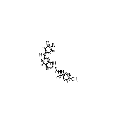 Cc1cnc(C(=O)NCCCNc2nc(Nc3ccc(F)c(I)c3)ncc2Br)cn1